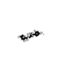 O=C(NCc1noc(-c2ccc(C(F)(F)F)cc2F)n1)c1ncc(Cl)cc1Cl